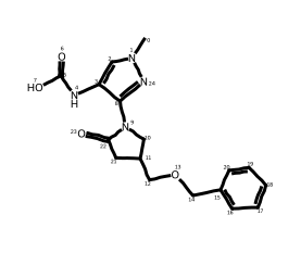 Cn1cc(NC(=O)O)c(N2CC(COCc3ccccc3)CC2=O)n1